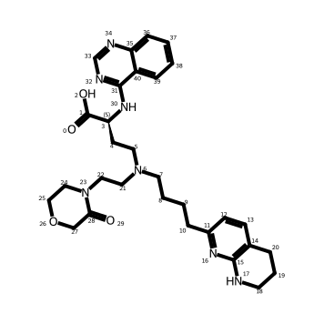 O=C(O)[C@H](CCN(CCCCc1ccc2c(n1)NCCC2)CCN1CCOCC1=O)Nc1ncnc2ccccc12